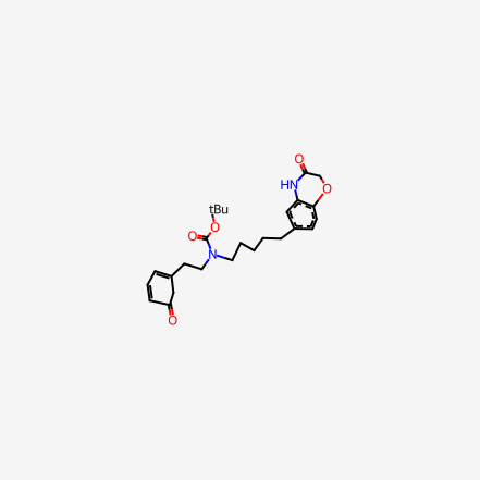 CC(C)(C)OC(=O)N(CCCCCc1ccc2c(c1)NC(=O)CO2)CCC1=CC=CC(=O)C1